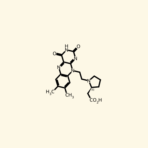 Cc1cc2nc3c(=O)[nH]c(=O)nc-3n(CCN3CCC[C@H]3CC(=O)O)c2cc1C